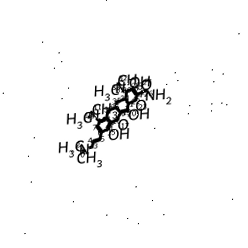 CN(C)C/C=C/c1cc(N(C)C)c2c(c1O)C(=O)C1=C(O)C3C(=O)C(C(N)=O)=C(O)[C@H](N(C)C)C3CC1C2